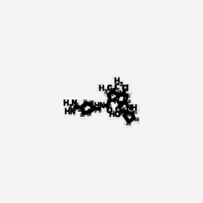 CC1(C)CC(C(=O)NCc2ccc(C(=N)N)cc2)n2c1c(Cl)nc(NC1(CO)CCCC1)c2=O